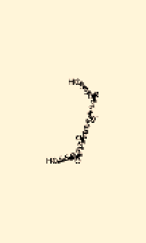 O=C(CSCSCC[S+]([O-])CSCSCSC(=O)CSCSCC(=O)OCSCSCO)OCSCSCO